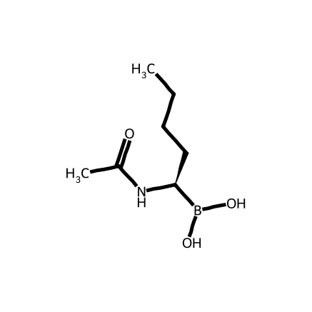 CCCC[C@H](NC(C)=O)B(O)O